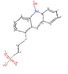 O=S(=O)(O)CCCc1cccc2c1C=C1C=CC=CC1N2O